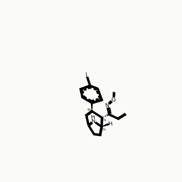 CCC(=NOC)[C@@H]1[C@@H]2CCC(C[C@H]1c1ccc(I)cc1)N2